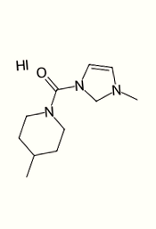 CC1CCN(C(=O)N2C=CN(C)C2)CC1.I